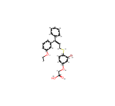 CCOc1cccc(/C(=C\CSc2ccc(OCC(=O)O)cc2Br)c2ccccc2)c1